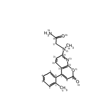 Cc1ccccc1-c1cc(=O)oc2nc(N(C)CC(N)=O)ccc12